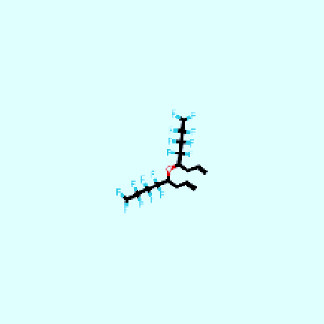 C=CCC(OC(CC=C)C(F)(F)C(F)(F)C(F)(F)C(F)F)C(F)(F)C(F)(F)C(F)(F)C(F)F